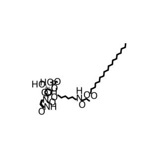 CCCCCCCCCCCCCCCCCC(=O)OC(C)C(=O)NCCCCCCOC1C(O[PH](=O)O)[C@@H](CO)O[C@H]1n1ccc(=O)[nH]c1=O